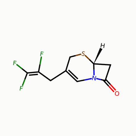 O=C1C[C@H]2SCC(CC(F)=C(F)F)=CN12